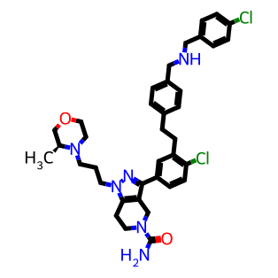 C[C@H]1COCCN1CCCn1nc(-c2ccc(Cl)c(CCc3ccc(CNCc4ccc(Cl)cc4)cc3)c2)c2c1CCN(C(N)=O)C2